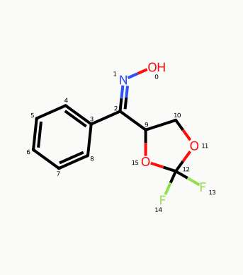 ON=C(c1ccccc1)C1COC(F)(F)O1